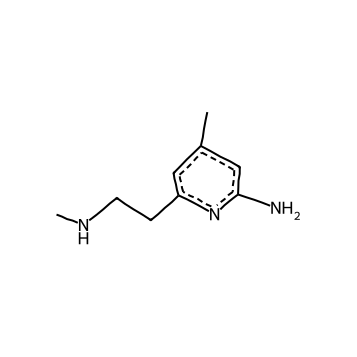 CNCCc1cc(C)cc(N)n1